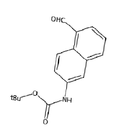 CC(C)(C)OC(=O)Nc1ccc2c(C=O)cccc2c1